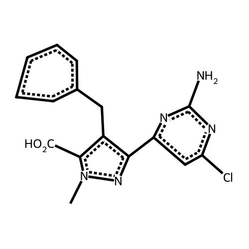 Cn1nc(-c2cc(Cl)nc(N)n2)c(Cc2ccccc2)c1C(=O)O